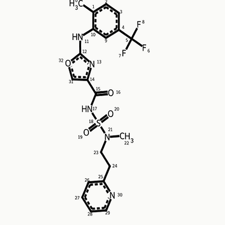 Cc1ccc(C(F)(F)F)cc1Nc1nc(C(=O)NS(=O)(=O)N(C)CCc2ccccn2)co1